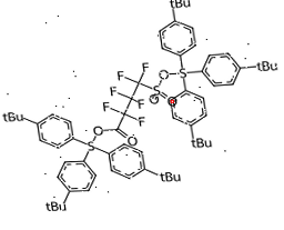 CC(C)(C)c1ccc(S(OC(=O)C(F)(F)C(F)(F)C(F)(F)S(=O)(=O)OS(c2ccc(C(C)(C)C)cc2)(c2ccc(C(C)(C)C)cc2)c2ccc(C(C)(C)C)cc2)(c2ccc(C(C)(C)C)cc2)c2ccc(C(C)(C)C)cc2)cc1